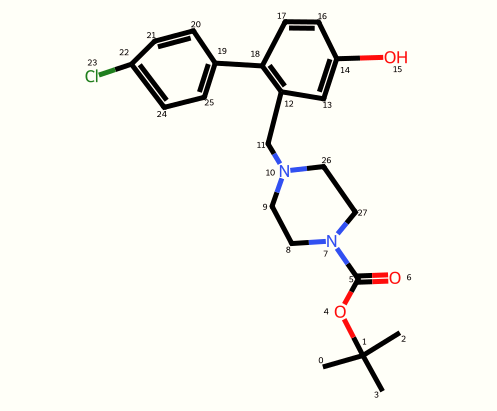 CC(C)(C)OC(=O)N1CCN(Cc2cc(O)ccc2-c2ccc(Cl)cc2)CC1